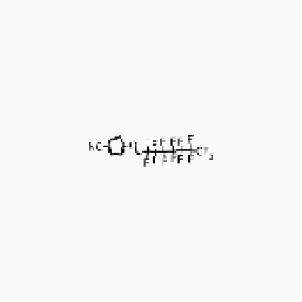 N#Cc1ccc(OCC(F)(F)C(F)(F)C(F)(F)C(F)(F)C(F)(F)C(F)(F)C(F)(F)F)cc1